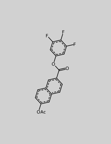 CC(=O)Oc1ccc2cc(C(=O)Oc3cc(F)c(F)c(F)c3)ccc2c1